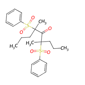 CCCC(C)(C(=O)C(C)(CCC)S(=O)(=O)c1ccccc1)S(=O)(=O)c1ccccc1